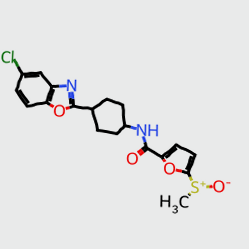 C[S+]([O-])c1ccc(C(=O)NC2CCC(c3nc4cc(Cl)ccc4o3)CC2)o1